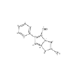 Cc1nn2c(C=O)c(-c3ccccc3)nc2s1